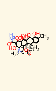 C=C1c2ccc(C)c(O)c2C(=O)C2=C(O)[C@]3(O)C(=O)C(C(N)=O)=C(O)[C@@H](N(C)C)[C@@H]3[C@@H](OC(=O)CC)[C@H]12